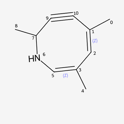 C/C1=C/C(C)=C\NC(C)C#C1